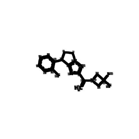 C=C(c1nc2n(n1)CCC2c1ccccc1F)N1CC(F)(F)C1